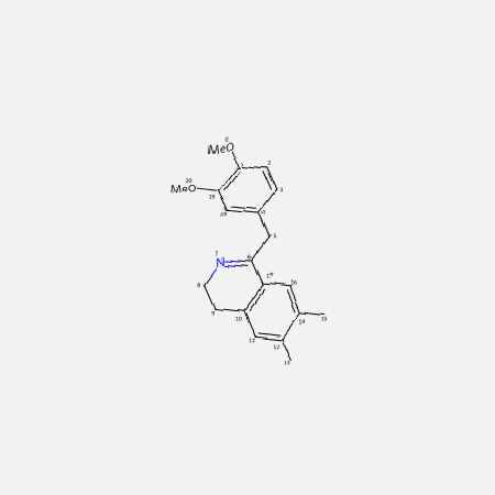 COc1ccc(CC2=NCCc3cc(C)c(C)cc32)cc1OC